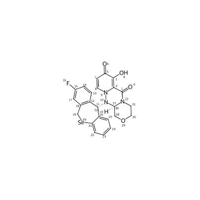 O=C1c2c(O)c(=O)ccn2N([C@H]2c3ccc(F)cc3C[Se]c3ccccc32)[C@@H]2COCCN12